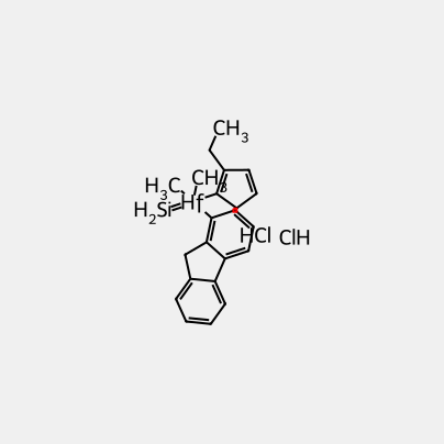 CCC1=[C]([Hf]([CH3])([CH3])(=[SiH2])[c]2cccc3c2Cc2ccccc2-3)CC=C1.Cl.Cl